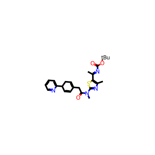 C/C(=N\C(=O)OC(C)(C)C)c1sc(N(C)C(=O)CC2=CCC(c3ccccn3)C=C2)nc1C